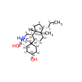 CCC[C@H]1CC[C@H]2[C@H](CN)[C@@H]([C@@]3(C)CC[C@H](O)C[C@@H]3CO)CC[C@]12C